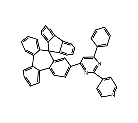 c1ccc(-c2cc(-c3ccc4c(c3)C3(c5ccccc5-c5ccccc5-4)c4ccccc4-c4ccccc43)nc(-c3ccncc3)n2)cc1